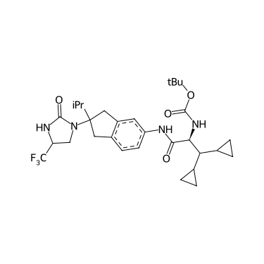 CC(C)C1(N2CC(C(F)(F)F)NC2=O)Cc2ccc(NC(=O)[C@@H](NC(=O)OC(C)(C)C)C(C3CC3)C3CC3)cc2C1